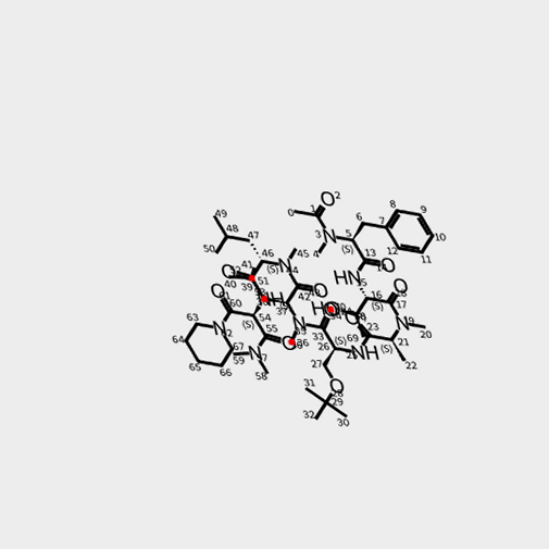 CC(=O)N(C)[C@@H](Cc1ccccc1)C(=O)N[C@H](C(=O)N(C)[C@@H](C)C(=O)N[C@@H](COC(C)(C)C)C(=O)N(C)[C@@H](CC(C)C)C(=O)N(C)[C@@H](CC(C)C)C(=O)N[C@@H](C(=O)N(C)C)C(=O)N1CCCCC1)[C@@H](C)O